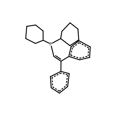 C(=C(c1ccccc1)c1ccccc1)P(C1CCCCC1)C1CCCCC1